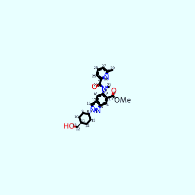 COC(=O)c1cc2nn([C@H]3CC[C@H](CO)CC3)cc2cc1N(C)C(=O)c1cccc(C)n1